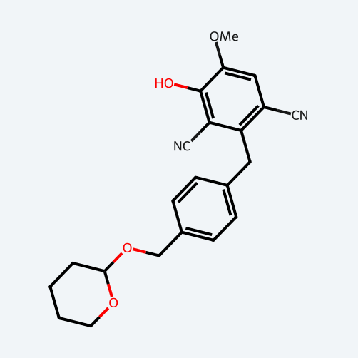 COc1cc(C#N)c(Cc2ccc(COC3CCCCO3)cc2)c(C#N)c1O